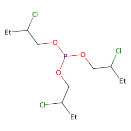 CCC(Cl)COP(OCC(Cl)CC)OCC(Cl)CC